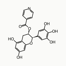 O=C(O[C@@H]1Cc2c(O)cc(O)cc2O[C@@H]1c1cc(O)c(O)c(O)c1)c1ccncc1